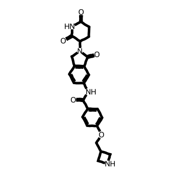 O=C1CCC(N2Cc3ccc(NC(=O)c4ccc(OCC5CNC5)cc4)cc3C2=O)C(=O)N1